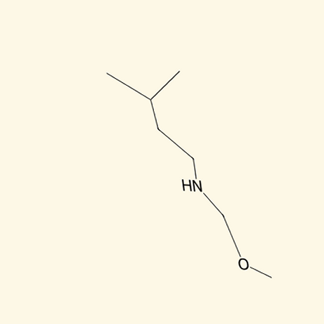 COCNCCC(C)C